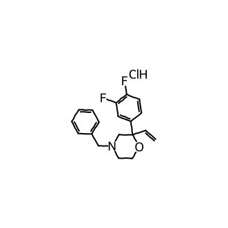 C=CC1(c2ccc(F)c(F)c2)CN(Cc2ccccc2)CCO1.Cl